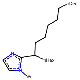 CCCCCCCCCCCCCCCC(CCCCCC)c1nccn1C(C)C